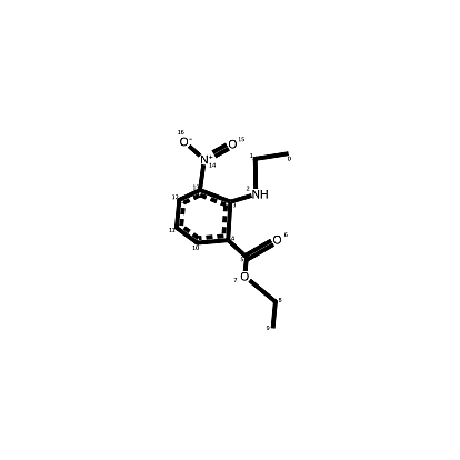 CCNc1c(C(=O)OCC)cccc1[N+](=O)[O-]